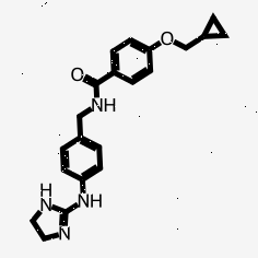 O=C(NCc1ccc(NC2=NCCN2)cc1)c1ccc(OCC2CC2)cc1